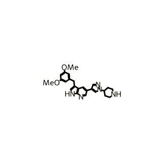 COc1cc(Cc2c[nH]c3ncc(-c4cnn(C5CCNCC5)c4)cc23)cc(OC)c1